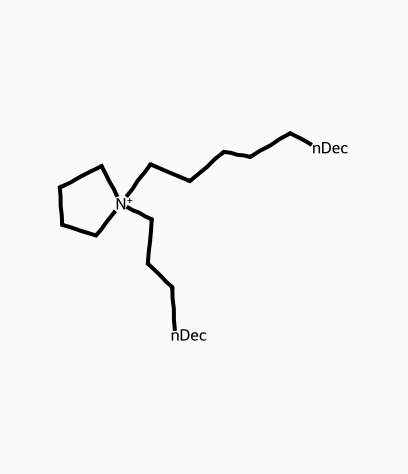 CCCCCCCCCCCCCCC[N+]1(CCCCCCCCCCCCC)CCCC1